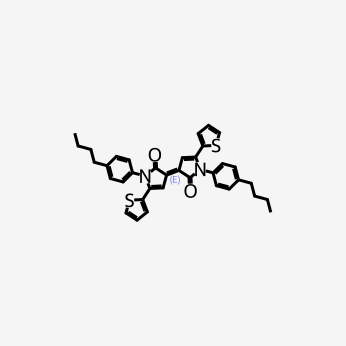 CCCCc1ccc(N2C(=O)/C(=C3\C=C(c4cccs4)N(c4ccc(CCCC)cc4)C3=O)C=C2c2cccs2)cc1